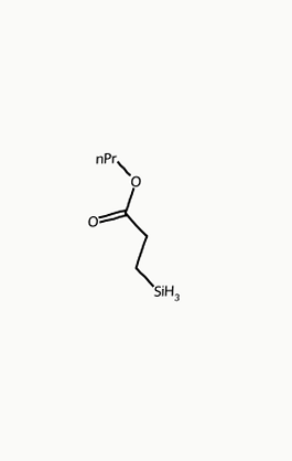 CCCOC(=O)CC[SiH3]